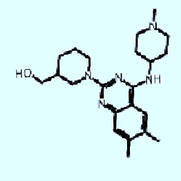 Cc1cc2nc(N3CCCC(CO)C3)nc(NC3CCN(C)CC3)c2cc1C